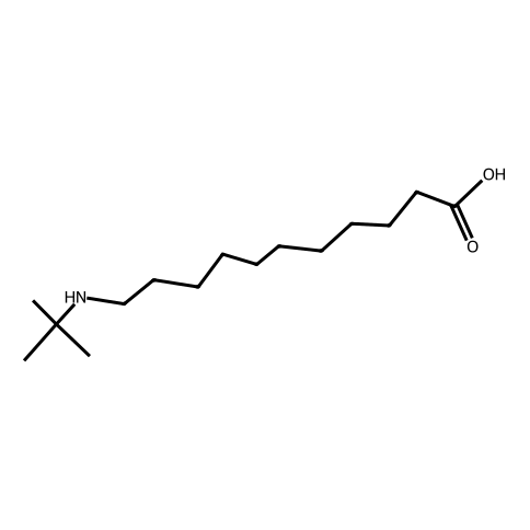 CC(C)(C)NCCCCCCCCCCC(=O)O